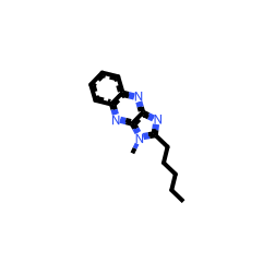 CCCCCc1nc2nc3ccccc3nc2n1C